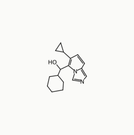 OC(c1c(C2CC2)ccc2cncn12)C1CCCCC1